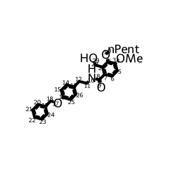 CCCCCOc1c(OC)ccc(C(=O)NCCc2ccc(OCc3ccccc3)cc2)c1CO